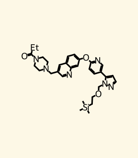 CCC(=O)N1CCN(Cc2cnc3cc(Oc4ccc(-c5ccnn5COCC[Si](C)(C)C)cn4)ccc3c2)CC1